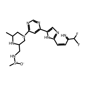 CC1CN(c2cc(-c3cnc(/C=C\C(=N)C(F)F)[nH]3)ncn2)CC(CN[S+](C)[O-])N1